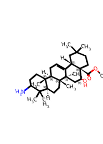 COC(=O)[C@]12CCC(C)(C)C[C@H]1C1=CC[C@@H]3[C@@]4(C)CCC(N)C(C)(C)[C@@H]4CC[C@@]3(C)[C@]1(C)C[C@H]2O